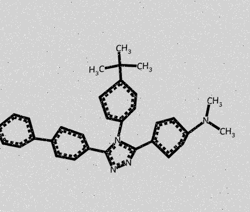 CN(C)c1ccc(-c2nnc(-c3ccc(-c4ccccc4)cc3)n2-c2ccc(C(C)(C)C)cc2)cc1